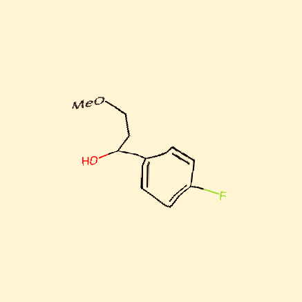 COCC(O)c1ccc(F)cc1